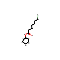 O=C(CCCCCCCl)OC1CCCCC1